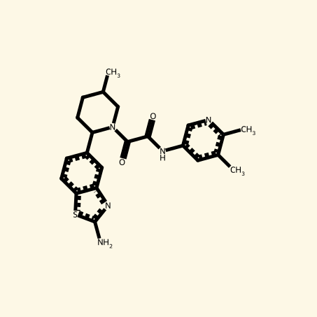 Cc1cc(NC(=O)C(=O)N2CC(C)CCC2c2ccc3sc(N)nc3c2)cnc1C